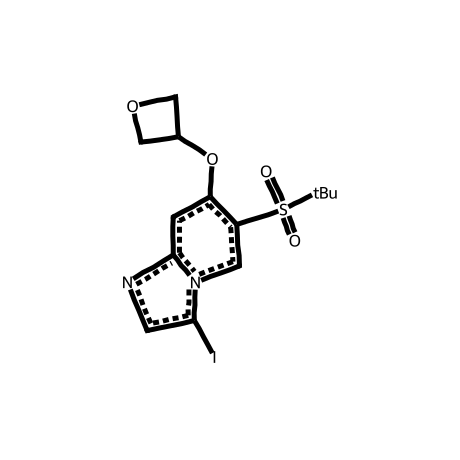 CC(C)(C)S(=O)(=O)c1cn2c(I)cnc2cc1OC1COC1